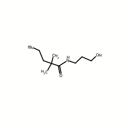 CC(C)(C)CCC(C)(C)C(=O)NCCCO